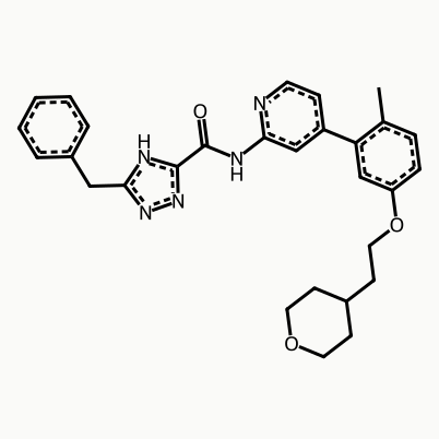 Cc1ccc(OCCC2CCOCC2)cc1-c1ccnc(NC(=O)c2nnc(Cc3ccccc3)[nH]2)c1